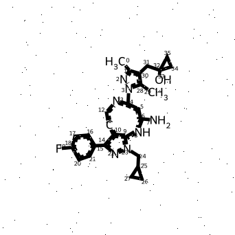 Cc1nn(-c2cc(N)[nH]c3c(ccn2)c(-c2ccc(F)cc2)nn3CC2CC2)c(C)c1CC1(O)CC1